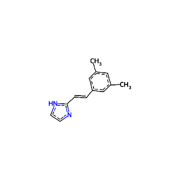 Cc1cc(C)cc(C=Cc2ncc[nH]2)c1